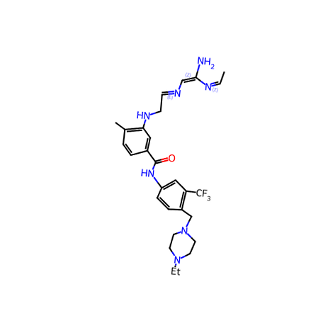 C\C=N/C(N)=C\N=C\CNc1cc(C(=O)Nc2ccc(CN3CCN(CC)CC3)c(C(F)(F)F)c2)ccc1C